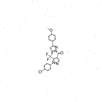 COc1ccc(-c2ccn(C(=O)c3cnn(-c4ccc(Cl)cc4)c3C(F)(F)F)n2)cc1